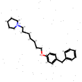 c1ccc(Cc2ccc(OCCCCCCCN3CCCCC3)cc2)cc1